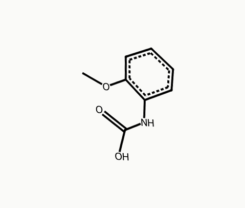 COc1ccccc1NC(=O)O